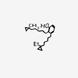 CCC1(CCCCCc2cccc(O)c2CCCCCC2(C)CC2)CC1